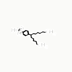 CCCCCCCC(CCCCCC)c1ccc(S(=O)(=O)O)cc1